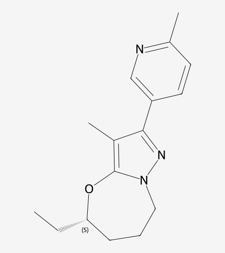 CC[C@H]1CCCn2nc(-c3ccc(C)nc3)c(C)c2O1